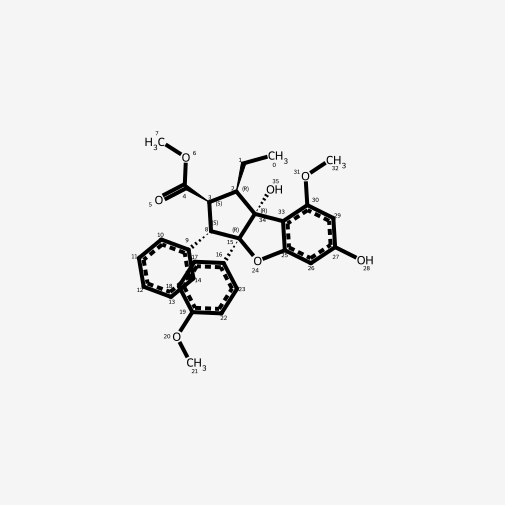 CC[C@@H]1[C@H](C(=O)OC)[C@@H](c2ccccc2)[C@]2(c3ccc(OC)cc3)Oc3cc(O)cc(OC)c3[C@]12O